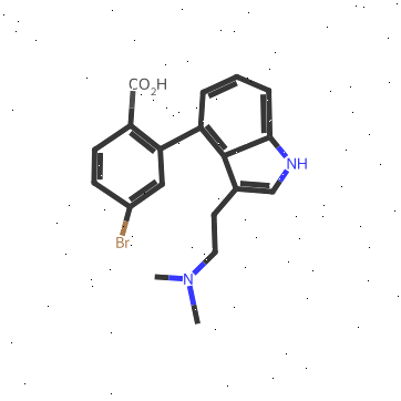 CN(C)CCc1c[nH]c2cccc(-c3cc(Br)ccc3C(=O)O)c12